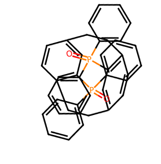 O=P(c1ccccc1)(c1ccccc1)c1cc2ccc1CCc1ccc(c(P(=O)(c3ccccc3)c3ccccc3)c1)CC2